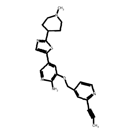 CC#Cc1cc(COc2cc(-c3cnc(C4CCN(C)CC4)s3)cnc2N)ccn1